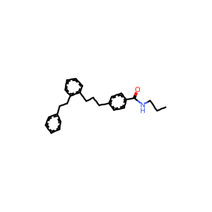 CCCNC(=O)c1ccc(CCCc2ccccc2CCc2ccccc2)cc1